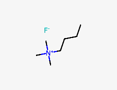 CCCC[N+](C)(C)C.[F-]